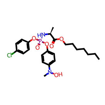 CCCCCCCOC(=O)[C@H](C)N[P@](=O)(Oc1ccc(Cl)cc1)Oc1ccc(N(C)O)cc1